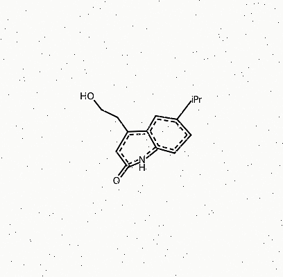 CC(C)c1ccc2[nH]c(=O)cc(CCO)c2c1